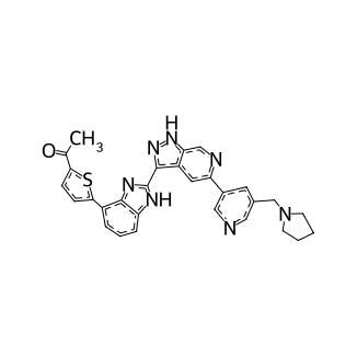 CC(=O)c1ccc(-c2cccc3[nH]c(-c4n[nH]c5cnc(-c6cncc(CN7CCCC7)c6)cc45)nc23)s1